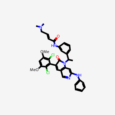 COc1cc(OC)c(Cl)c(-c2cc3cnc(Nc4ccccc4)cc3n(C(C)c3cccc(NC(=O)/C=C/CN(C)C)c3)c2=O)c1Cl